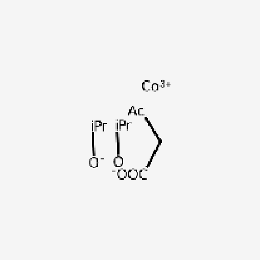 CC(=O)CC(=O)[O-].CC(C)[O-].CC(C)[O-].[Co+3]